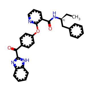 CC[C@@H](Cc1ccccc1)NC(=O)c1cccnc1Oc1ccc(C(=O)c2nc3ccccc3[nH]2)cc1